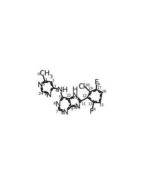 Cc1cc(Nc2ncnc3nc(-c4c(F)ccc(F)c4Cl)[nH]c23)ncn1